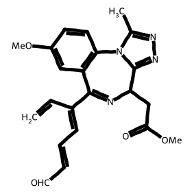 C=C/C(=C\C=CC=O)C1=NC(CC(=O)OC)c2nnc(C)n2-c2ccc(OC)cc21